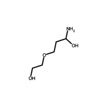 NC(O)CCOCCO